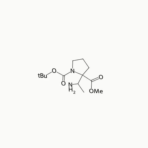 COC(=O)C1(C(C)N)CCCN1C(=O)OC(C)(C)C